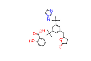 CC(C)(C)C1=CC(C=C2CCC(=O)O2)=CC(C(C)(C)C)C1.O=C(O)c1ccccc1O.c1c[nH]cn1